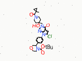 CC(C)(C)OC(=O)N1CCOCC1c1ccc(-n2c(Cl)cc3c(=O)n(CC4(O)CCN(C(=O)C5(C)CC5)CC4)cnc32)cc1